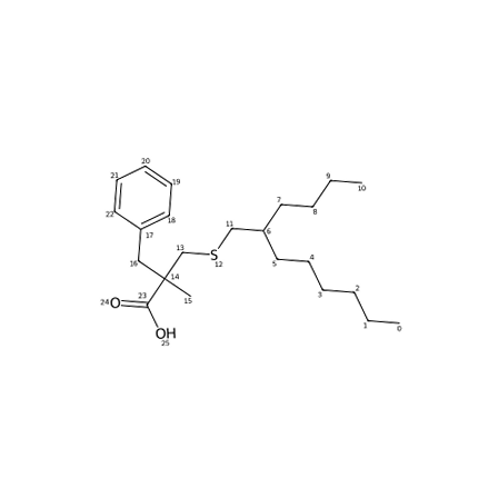 CCCCCCC(CCCC)CSCC(C)(Cc1ccccc1)C(=O)O